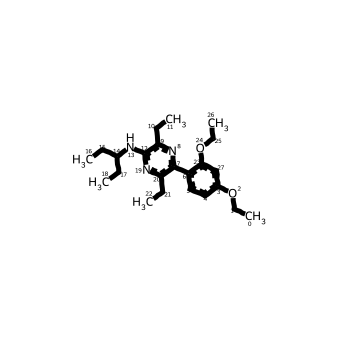 CCOc1ccc(-c2nc(CC)c(NC(CC)CC)nc2CC)c(OCC)c1